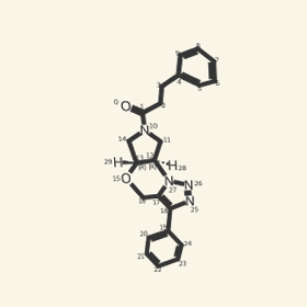 O=C(CCc1ccccc1)N1C[C@@H]2[C@@H](C1)OCc1c(-c3ccccc3)nnn12